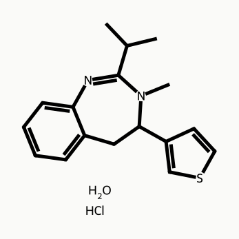 CC(C)C1=Nc2ccccc2CC(c2ccsc2)N1C.Cl.O